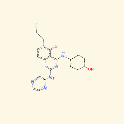 O=c1c2c(NC3CCC(O)CC3)nc(Nc3cnccn3)cc2ccn1CCF